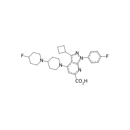 O=C(O)c1cc(N2CCC(N3CCC(F)CC3)CC2)c2c(C3CCC3)nn(-c3ccc(F)cc3)c2n1